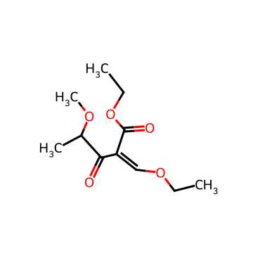 CCOC=C(C(=O)OCC)C(=O)C(C)OC